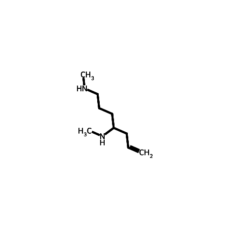 C=CCC(CCCNC)NC